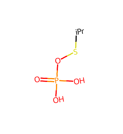 CC(C)SOP(=O)(O)O